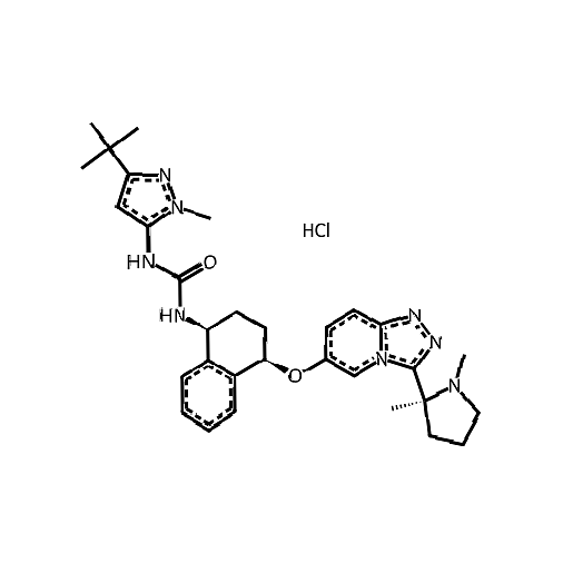 CN1CCC[C@@]1(C)c1nnc2ccc(O[C@@H]3CC[C@H](NC(=O)Nc4cc(C(C)(C)C)nn4C)c4ccccc43)cn12.Cl